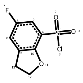 O=S(=O)(Cl)c1cc(F)cc2c1OCC2